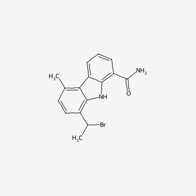 C[C](Br)c1ccc(C)c2c1[nH]c1c(C(N)=O)cccc12